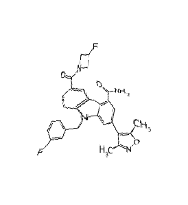 Cc1noc(C)c1-c1cc(C(N)=O)c2c3cc(C(=O)N4CC(F)C4)ccc3n(Cc3cccc(F)c3)c2c1